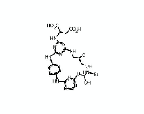 CCNC(O)Oc1ncnc(Nc2ccc(Nc3nc(NCC(O)CO)nc(NC(CC(=O)O)C(=O)O)n3)cc2)n1